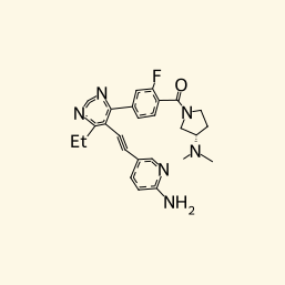 CCc1ncnc(-c2ccc(C(=O)N3CC[C@H](N(C)C)C3)c(F)c2)c1C#Cc1ccc(N)nc1